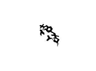 CC(C)N1CC(F)CC1C(C)(C)Cc1ccc2c(c1)N(C(C)(C)C)C(C(C)(C)C)C2